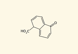 O=C1C=CC=C2C1=CC=CC2C(=O)O